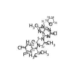 Cc1nc2c(N3C[C@@H](C)N(C(c4ccc(Cl)c(F)c4)C(C)C)C[C@@H]3C)nc(Cl)nc2n1C[C@@H]1CCCO1